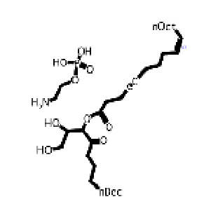 CCCCCCCC/C=C\CCCCCCCC(=O)OC(C(=O)CCCCCCCCCCCCC)C(O)CO.NCCOP(=O)(O)O